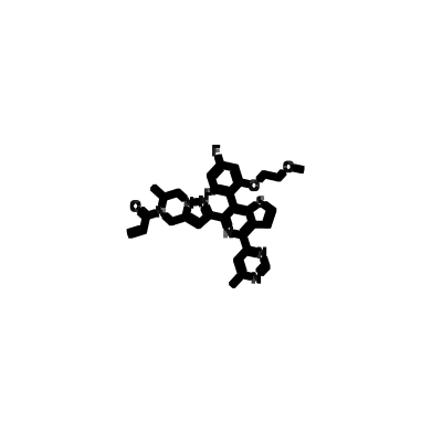 C=CC(=O)N1Cc2cc(-c3nc(-c4cc(C)ncn4)c4ccsc4c3-c3c(F)cc(F)cc3OCCOC)nn2CC1C